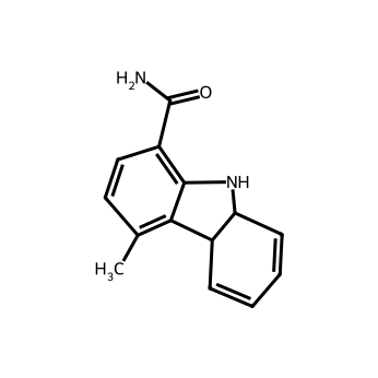 Cc1ccc(C(N)=O)c2c1C1C=CC=CC1N2